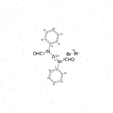 O=C[N]([Zr+2][N](C=O)c1ccccc1)c1ccccc1.[Br-].[Br-]